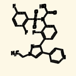 CCn1cc(-c2ccncc2)c(-c2cccc(N(C(=O)O)S(=O)(=O)c3cc(F)ccc3F)c2F)n1